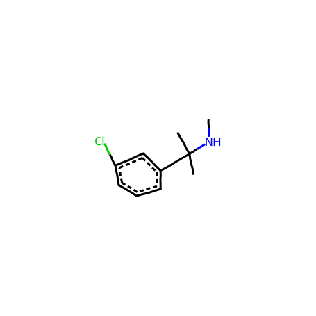 CNC(C)(C)c1cccc(Cl)c1